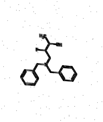 CC(O)C(F)CN(Cc1ccccc1)Cc1ccccc1